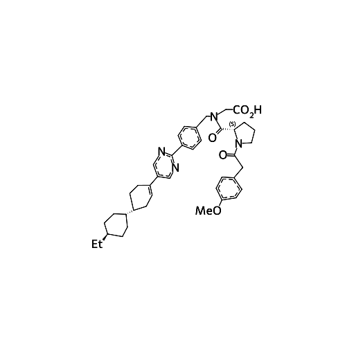 CC[C@H]1CC[C@H](C2CC=C(c3cnc(-c4ccc(CN(CC(=O)O)C(=O)[C@@H]5CCCN5C(=O)Cc5ccc(OC)cc5)cc4)nc3)CC2)CC1